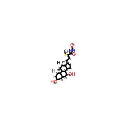 CSC(CCC1CCC2C3C(CCC12C)C1(C)CC[C@@H](O)CC1C[C@H]3O)C(=O)NC=O